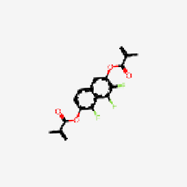 C=C(C)C(=O)Oc1cc2ccc(OC(=O)C(=C)C)c(F)c2c(F)c1F